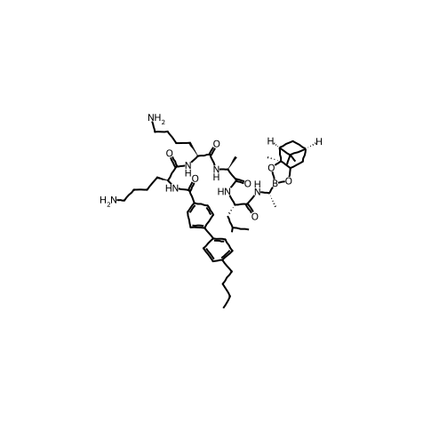 CCCCc1ccc(-c2ccc(C(=O)N[C@@H](CCCCN)C(=O)N[C@@H](CCCCN)C(=O)N[C@@H](C)C(=O)N[C@@H](CC(C)C)C(=O)N[C@@H](C)B3OC4C[C@@H]5C[C@@H](C5(C)C)[C@]4(C)O3)cc2)cc1